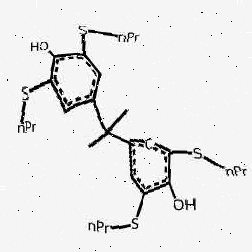 CCCSc1cc(C(C)(C)c2cc(SCCC)c(O)c(SCCC)c2)cc(SCCC)c1O